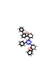 C1=C(c2nc(C3=CCCc4oc5c(-c6ccccc6)cccc5c43)nc(-c3ccccc3)n2)c2oc3ccccc3c2CC1